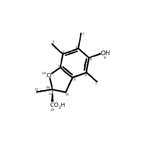 Cc1c(C)c2c(c(C)c1O)C[C@@](C)(C(=O)O)O2